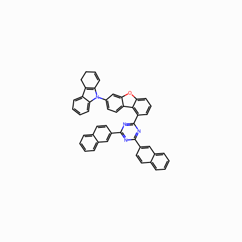 C1=Cc2c(c3ccccc3n2-c2ccc3c(c2)oc2cccc(-c4nc(-c5ccc6ccccc6c5)nc(-c5ccc6ccccc6c5)n4)c23)CC1